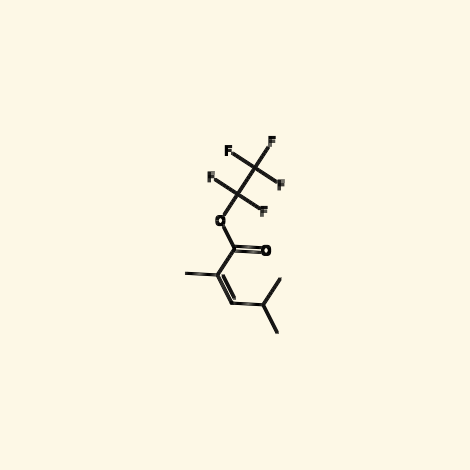 CC(=CC(C)C)C(=O)OC(F)(F)C(F)(F)F